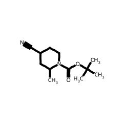 CC1CC(C#N)CCN1C(=O)OC(C)(C)C